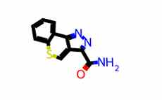 NC(=O)c1nnc2c3ccccc3scc1-2